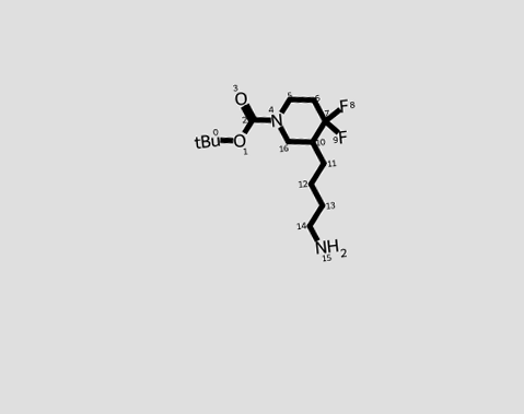 CC(C)(C)OC(=O)N1CCC(F)(F)C(CCCCN)C1